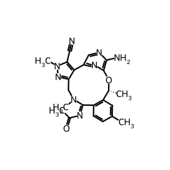 CC(=O)/N=C1/c2ccc(C)cc2[C@@H](C)Oc2nc(cnc2N)-c2c(nn(C)c2C#N)CN1C